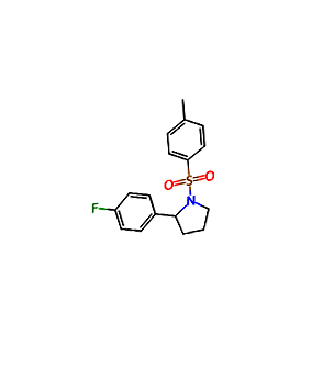 Cc1ccc(S(=O)(=O)N2CCCC2c2ccc(F)cc2)cc1